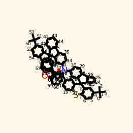 CC(C)(C)c1ccc2c(c1)C1(c3cc(C(C)(C)C)ccc3S2)c2ccccc2-c2ccc(N(c3ccc4c(c3)C3(c5ccccc5-4)c4cc(C(C)(C)C)ccc4-c4ccc(C(C)(C)C)cc43)c3cccc4oc5ccccc5c34)cc21